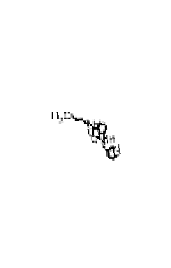 CCCCCNC(=O)c1cccc2[nH]n(Cc3cccnc3)c(=O)c12